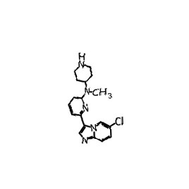 CN(C1CCNCC1)C1CC=CC(c2cnc3ccc(Cl)cn23)=N1